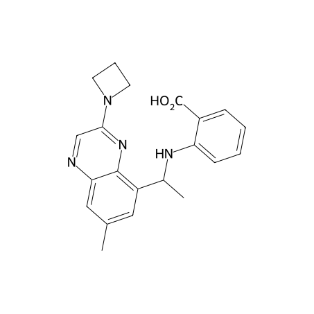 Cc1cc(C(C)Nc2ccccc2C(=O)O)c2nc(N3CCC3)cnc2c1